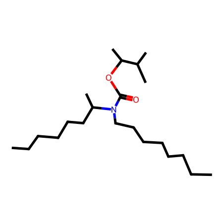 CCCCCCCCN(C(=O)OC(C)C(C)C)C(C)CCCCCC